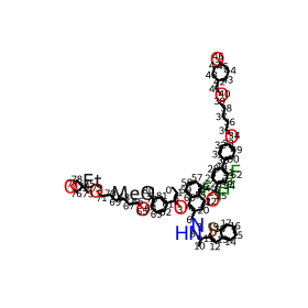 CC=C(Oc1c(/C=N/NC(C)c2cc3ccccc3s2)cc(OC(F)(F)c2ccc(-c3ccc(OCCCCCOCC4CCC5OC5C4)cc3)c(F)c2F)c2ccccc12)c1ccc(OCCCCCCOCC2(CC)COC2)c(OC)c1